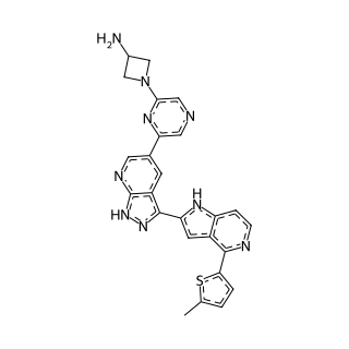 Cc1ccc(-c2nccc3[nH]c(-c4n[nH]c5ncc(-c6cncc(N7CC(N)C7)n6)cc45)cc23)s1